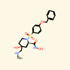 CCCCNC[C@]1(O)CCN(S(=O)(=O)c2ccc(OCc3ccccc3)cc2)[C@@H](C(=O)NO)C1